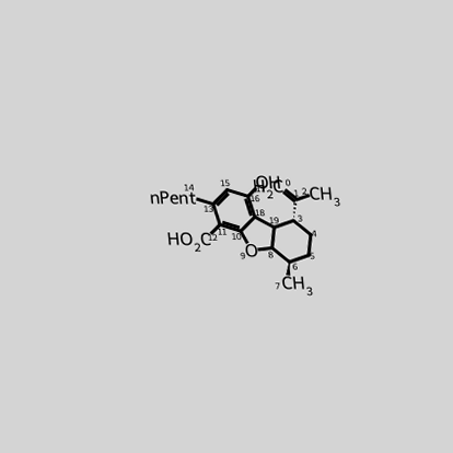 C=C(C)[C@@H]1CC[C@@H](C)C2Oc3c(C(=O)O)c(CCCCC)cc(O)c3C21